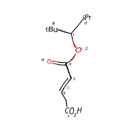 CC(C)C(OC(=O)/C=C/C(=O)O)C(C)(C)C